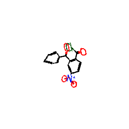 O=C(Cl)c1ccc([N+](=O)[O-])cc1C(=O)c1ccccc1